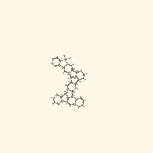 CC1(C)c2ccccc2-c2cc3c(cc21)c1cccc2c4cc5c6c7ccccc7cc7c8ccccc8n(c5cc4n3c12)c76